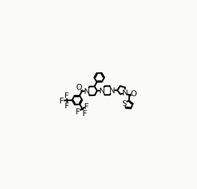 O=C(c1cc(C(F)(F)F)cc(C(F)(F)F)c1)N1CCC(N2CCN(C3CCN(C(=O)c4cccs4)C3)CC2)C(c2ccccc2)C1